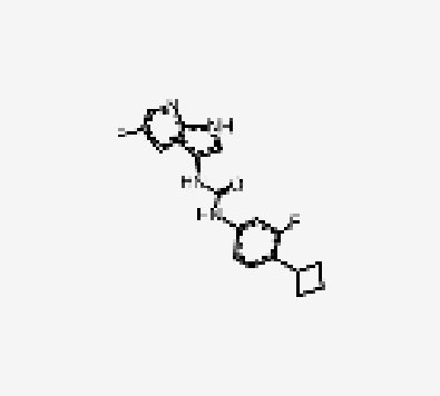 O=C(Nc1ccc(C2CCC2)c(F)c1)Nc1c[nH]c2ncc(F)cc12